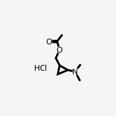 CC(=O)OCC1CC1N(C)C.Cl